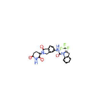 O=C1CC[C@H](N2Cc3cc(NC(=O)N4c5ccccc5C[C@H]4C(F)(F)F)ccc3C2=O)C(=O)N1